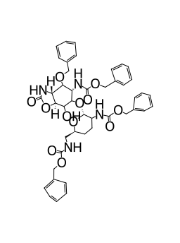 O=C(NC[C@@H]1CCC(NC(=O)OCc2ccccc2)[C@@H](OC2C(O)[C@H]3OC(=O)N[C@@H]3C(OCc3ccccc3)[C@@H]2NC(=O)OCc2ccccc2)O1)OCc1ccccc1